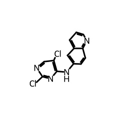 Clc1ncc(Cl)c(Nc2ccc3ncccc3c2)n1